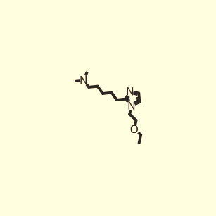 CCOCCn1ccnc1CCCCCN(C)C